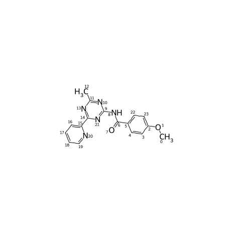 COc1ccc(C(=O)Nc2nc(C)nc(-c3ccccn3)n2)cc1